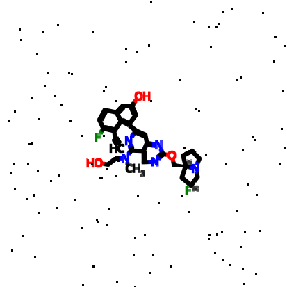 C#Cc1c(F)ccc2cc(O)cc(-c3cc4nc(OC[C@@]56CCCN5C[C@H](F)C6)ncc4c(N(C)CCO)n3)c12